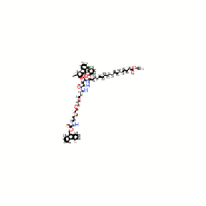 Cc1ccc(C(OC(=O)[C@H](CCC(=O)NCCCOCCOCCOCCCNC(=O)OCC2c3ccccc3-c3ccccc32)NC(=O)CCCCCCCCCCCCCCCCC(=O)OC(C)(C)C)(c2ccccc2)c2ccccc2Cl)cc1